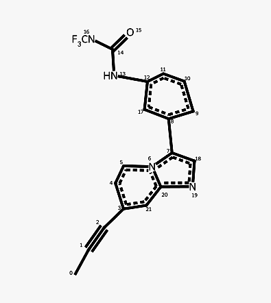 CC#Cc1ccn2c(-c3cccc(NC(=O)NC(F)(F)F)c3)cnc2c1